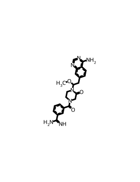 COC(Cc1ccc2c(N)ncnc2c1)N1CCN(C(=O)c2cccc(C(=N)N)c2)CC1=O